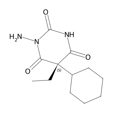 CC[C@]1(C2CCCCC2)C(=O)NC(=O)N(N)C1=O